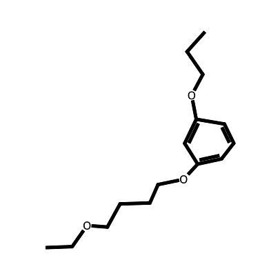 CCCOc1cccc(OCCCCOCC)c1